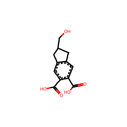 O=C(O)c1cc2c(cc1C(=O)O)CC(CO)C2